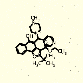 CCOC(=O)c1c(C(C)(C)C)oc2c1c(C(c1ccncc1)N1CCN(C)CC1)c(O)c1ccccc12